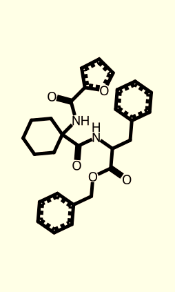 O=C(NC1(C(=O)NC(Cc2ccccc2)C(=O)OCc2ccccc2)CCCCC1)c1ccco1